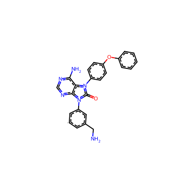 NCc1c[c]cc(-n2c(=O)n(-c3ccc(Oc4ccccc4)cc3)c3c(N)ncnc32)c1